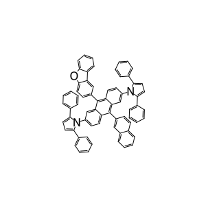 c1ccc(-c2ccc(-c3ccccc3)n2-c2ccc3c(-c4ccc5oc6ccccc6c5c4)c4cc(-n5c(-c6ccccc6)ccc5-c5ccccc5)ccc4c(-c4ccc5ccccc5c4)c3c2)cc1